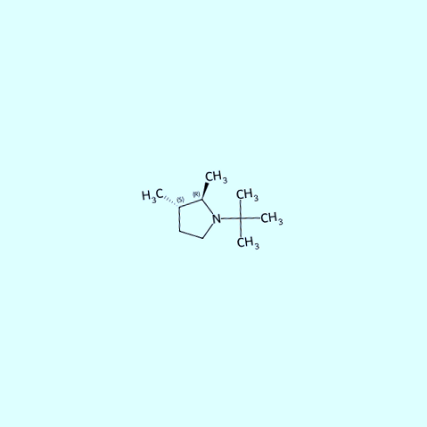 C[C@@H]1[C@@H](C)CCN1C(C)(C)C